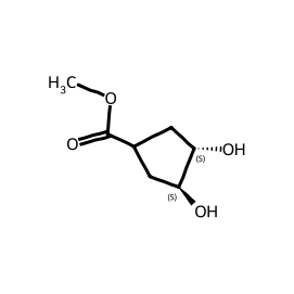 COC(=O)C1C[C@H](O)[C@@H](O)C1